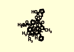 CNC(=O)NC1CCN(C(=O)[C@@H](COC[C@@H]2CCCN2C(=O)O)NC(=O)[C@@H](CC(C)C)NC(=O)[C@@H](Cc2ccccc2)NC(=O)[C@@H](Cc2ccccc2)NC(=O)OC(C)(C)C)CC1